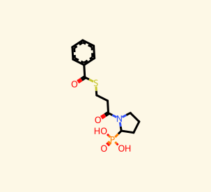 O=C(SCCC(=O)N1CCCC1P(=O)(O)O)c1ccccc1